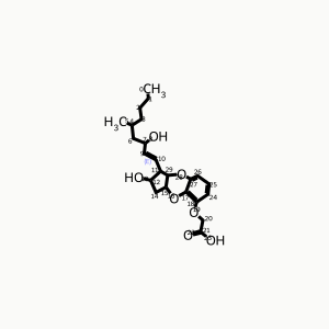 CCCCC(C)CC(O)/C=C/C1C(O)CC2Oc3c(OCC(=O)O)cccc3OC21